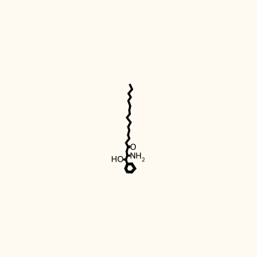 CCCCCCCCCCCCCCCC(=O)CC(N)C(O)c1ccccc1